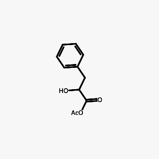 CC(=O)OC(=O)C(O)Cc1ccccc1